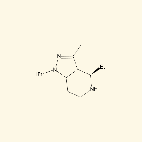 CC[C@H]1NCCC2C1C(C)=NN2C(C)C